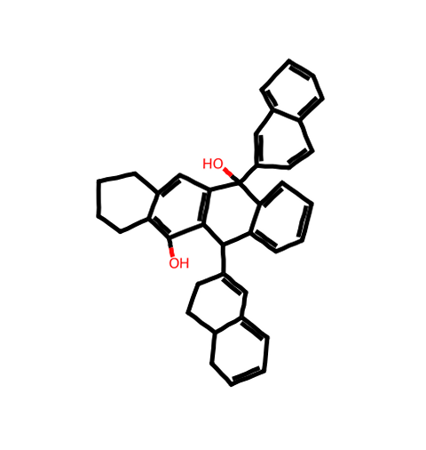 Oc1c2c(cc3c1C(C1=CC4=CC=CCC4CC1)c1ccccc1C3(O)c1ccc3ccccc3c1)CCCC2